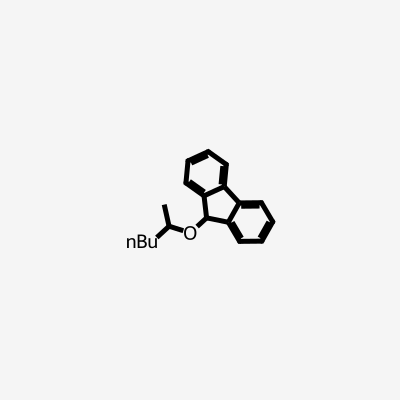 CCCCC(C)OC1c2ccccc2-c2ccccc21